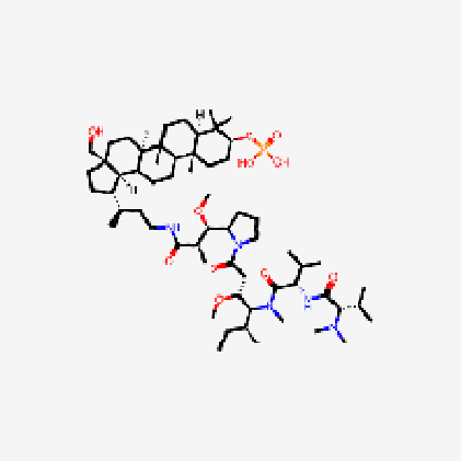 C=C(CCNC(=O)[C@H](C)[C@@H](OC)C1CCCN1C(=O)C[C@@H](OC)[C@H]([C@@H](C)CC)N(C)C(=O)[C@@H](NC(=O)[C@H](C(C)C)N(C)C)C(C)C)[C@@H]1CC[C@]2(CO)CC[C@]3(C)C(CCC4[C@@]5(C)CC[C@H](OP(=O)(O)O)C(C)(C)[C@@H]5CC[C@]43C)[C@@H]12